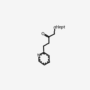 CCCCCCCCC(=O)CCc1ccccn1